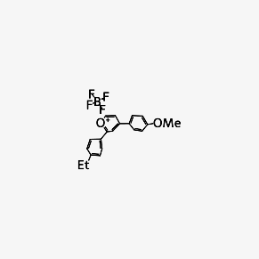 CCc1ccc(-c2cc(-c3ccc(OC)cc3)cc[o+]2)cc1.F[B-](F)(F)F